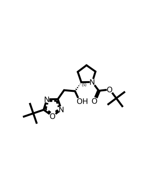 CC(C)(C)OC(=O)N1CCC[C@H]1C(O)Cc1noc(C(C)(C)C)n1